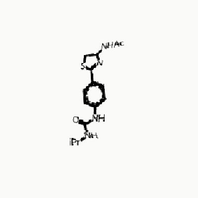 CC(=O)NC1CSC(c2ccc(NC(=O)NC(C)C)cc2)=N1